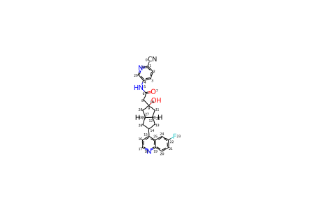 N#Cc1ccc(NC(=O)CC2(O)C[C@H]3CC(c4ccnc5ccc(F)cc45)C[C@H]3C2)cn1